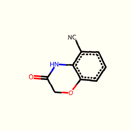 N#Cc1cccc2c1NC(=O)CO2